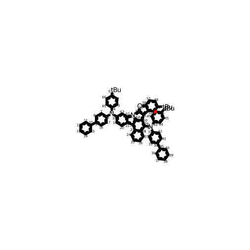 CC(C)(C)c1ccc(N(c2ccc(-c3ccccc3)cc2)c2ccc3c4c5ccccc5c(N(c5ccc(-c6ccccc6)cc5)c5ccc(C(C)(C)C)cc5)c5c6c7cc(C(C)(C)C)ccc7oc6n(c3c2)c54)cc1